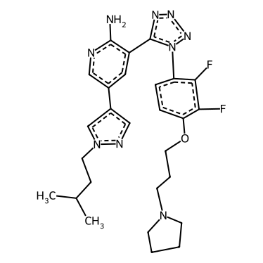 CC(C)CCn1cc(-c2cnc(N)c(-c3nnnn3-c3ccc(OCCCN4CCCC4)c(F)c3F)c2)cn1